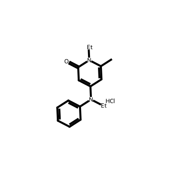 CCN(c1ccccc1)c1cc(C)n(CC)c(=O)c1.Cl